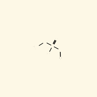 O=P(O)(OP)[O][Mo]